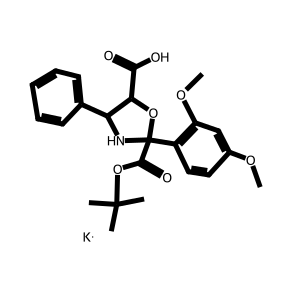 COc1ccc(C2(C(=O)OC(C)(C)C)NC(c3ccccc3)C(C(=O)O)O2)c(OC)c1.[K]